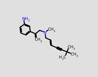 C=C(CN(C)C/C=C/C#CC(C)(C)C)c1cccc(N)c1